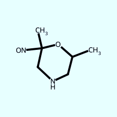 CC1CNCC(C)(N=O)O1